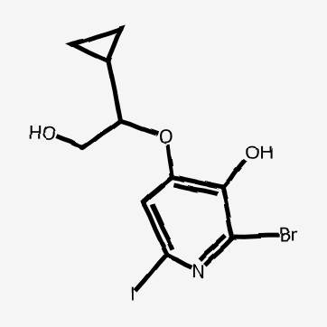 OCC(Oc1cc(I)nc(Br)c1O)C1CC1